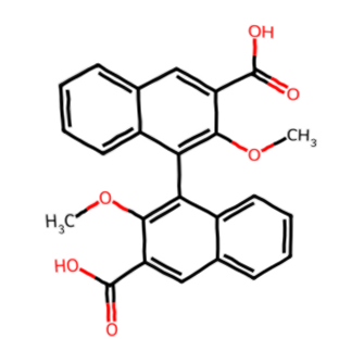 COc1c(C(=O)O)cc2ccccc2c1-c1c(OC)c(C(=O)O)cc2ccccc12